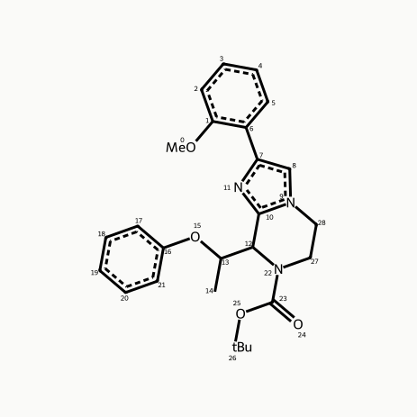 COc1ccccc1-c1cn2c(n1)C(C(C)Oc1ccccc1)N(C(=O)OC(C)(C)C)CC2